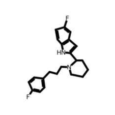 Fc1ccc(CCCN2CCCCC2c2cc3cc(F)ccc3[nH]2)cc1